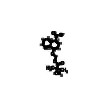 CC(C)(C)C(=O)OCOc1ccc([N+](=O)[O-])c2cccnc12